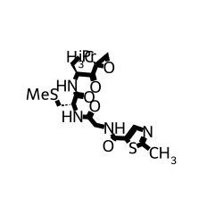 CSC[C@@H](NC(=O)CNC(=O)c1cnc(C)s1)C(=O)N[C@@H](CC(C)C)C(=O)[C@@]1(C)CO1